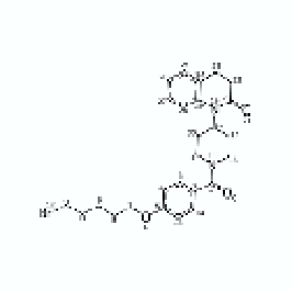 O=C(c1ccc(OCCCCCBr)cc1)N1CCC(N2C(=O)CCc3ccccc32)CC1